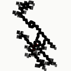 C=C(NCCCCc1ccc(OCCN(CCCN(CCCC)CCCNC(=O)[C@@H](C)CCCCNC(C)=N)CCCN(CCCNC(=O)[C@@H](C)CCCCNC(C)=N)CCCNC(=O)[C@@H](C)CCCCNC(C)=N)cc1)NC(=O)c1nc(Cl)c(C)nc1N